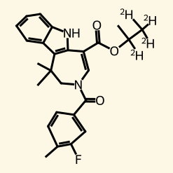 [2H]C([2H])([2H])C([2H])(C)OC(=O)C1=CN(C(=O)c2ccc(C)c(F)c2)CC(C)(C)c2c1[nH]c1ccccc21